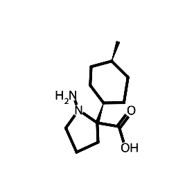 C[C@H]1CC[C@@H](C2(C(=O)O)CCCN2N)CC1